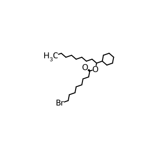 CCCCCCCCC(OC(=O)CCCCCCCBr)C1CCCCC1